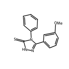 COc1cccc(-c2n[nH]c(=S)n2-c2ccccc2)c1